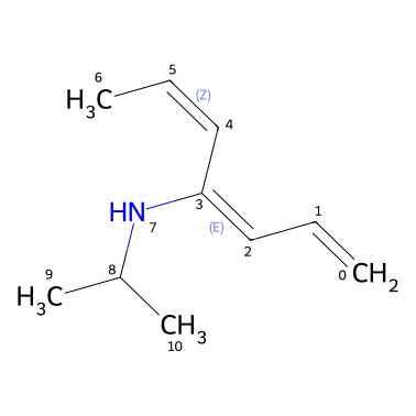 C=C/C=C(\C=C/C)NC(C)C